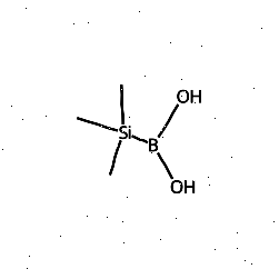 C[Si](C)(C)B(O)O